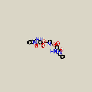 COc1cc2c(cc1OCc1cccc(COc3cc4c(cc3OC)C(=O)N3Cc5ccccc5CC3CN4)n1)NCC1Cc3ccccc3CN1C2=O